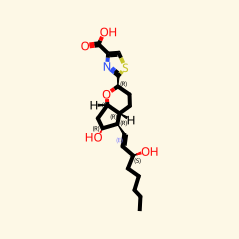 CCCCC[C@H](O)/C=C/[C@@H]1[C@H]2CC[C@H](c3nc(C(=O)O)cs3)O[C@H]2C[C@H]1O